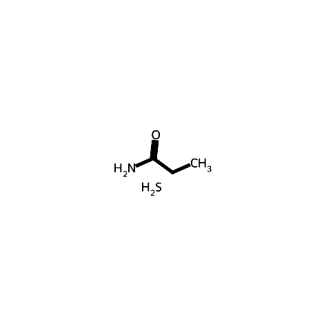 CCC(N)=O.S